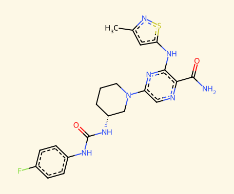 Cc1cc(Nc2nc(N3CCC[C@@H](NC(=O)Nc4ccc(F)cc4)C3)cnc2C(N)=O)sn1